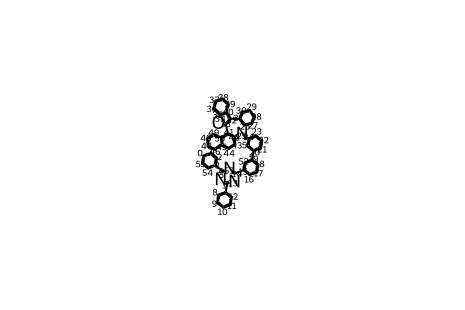 c1ccc(-c2nc(-c3ccccc3)nc(-c3cccc(-c4cccc(N5c6ccccc6-c6c(oc7ccccc67)-c6c5ccc5ccccc65)c4)c3)n2)cc1